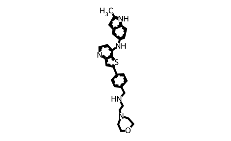 Cc1cc2cc(Nc3ccnc4cc(-c5ccc(CNCCN6CCOCC6)cc5)sc34)ccc2[nH]1